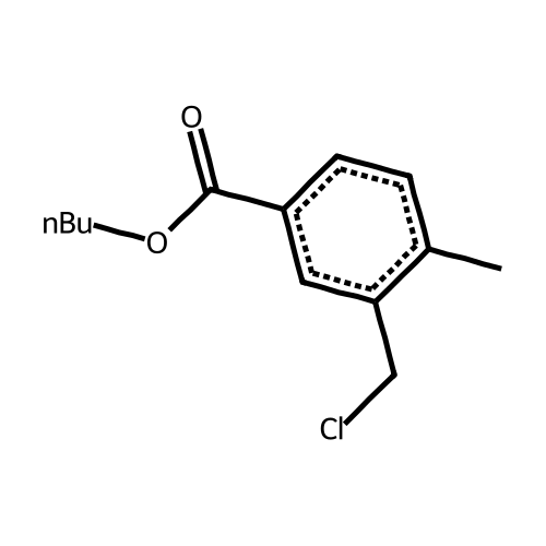 CCCCOC(=O)c1ccc(C)c(CCl)c1